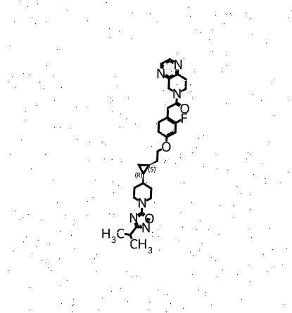 CC(C)c1noc(N2CCC([C@H]3C[C@H]3CCOC3=CC(F)=C(CC(=O)N4CCc5nccnc5C4)CC3)CC2)n1